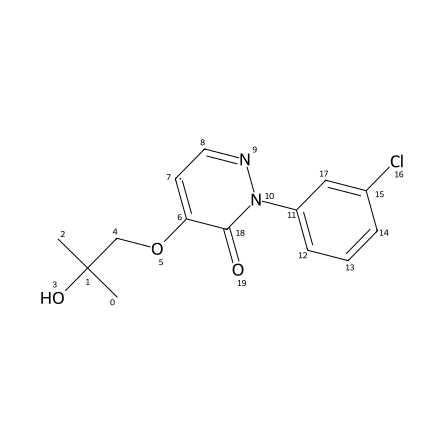 CC(C)(O)COc1[c]cnn(-c2cccc(Cl)c2)c1=O